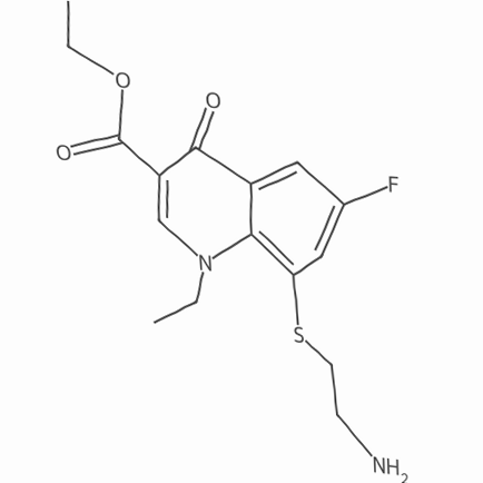 CCOC(=O)c1cn(CC)c2c(SCCN)cc(F)cc2c1=O